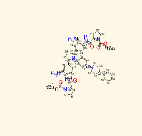 CC(C)(C)OC(=O)N1CCC[C@H]1C(=O)NC1=CCC([C@H]2CC[C@H](c3ccc(NC(=O)[C@@H]4CCCN4C(=O)OC(C)(C)C)c(N)c3)N2c2ccc(N3CCC(c4ccccc4)CC3)cc2)C=C1N